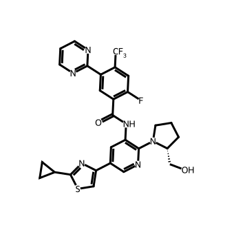 O=C(Nc1cc(-c2csc(C3CC3)n2)cnc1N1CCC[C@@H]1CO)c1cc(-c2ncccn2)c(C(F)(F)F)cc1F